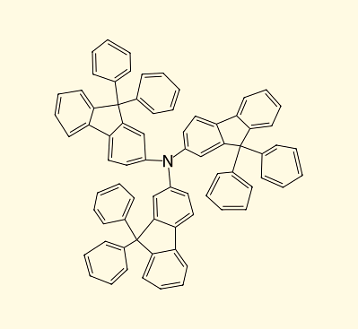 c1ccc(C2(c3ccccc3)c3ccccc3-c3ccc(N(c4ccc5c(c4)C(c4ccccc4)(c4ccccc4)c4ccccc4-5)c4ccc5c(c4)C(c4ccccc4)(c4ccccc4)c4ccccc4-5)cc32)cc1